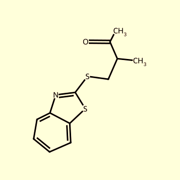 CC(=O)C(C)CSc1nc2ccccc2s1